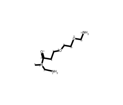 CN(CN)C(=O)CCOCCOCN